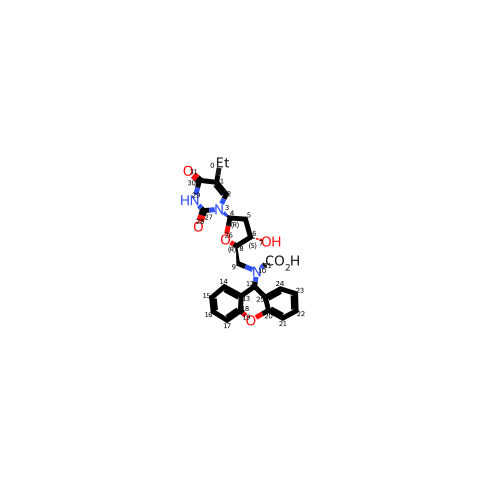 CCc1cn([C@H]2C[C@H](O)[C@@H](CN(C(=O)O)C3c4ccccc4Oc4ccccc43)O2)c(=O)[nH]c1=O